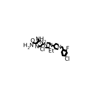 CC[C@H]1CN(c2nc(N)c(C(N)=O)nc2Cl)CCN1C1CCN(Cc2ccc(Cl)cc2F)CC1